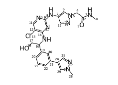 CNC(=O)Cn1cc(Nc2ncc(Cl)c(NC(CO)c3cccc(-c4cnn(C)c4)c3)n2)cn1